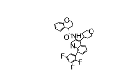 O=C(Nc1cnc2c(-c3cc(F)cc(F)c3F)cccc2c1C1CCOCC1)C1CCOc2ccccc21